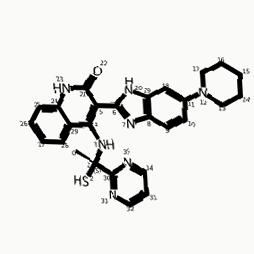 C[C@@](S)(Nc1c(-c2nc3ccc(N4CCCCC4)cc3[nH]2)c(=O)[nH]c2ccccc12)c1ncccn1